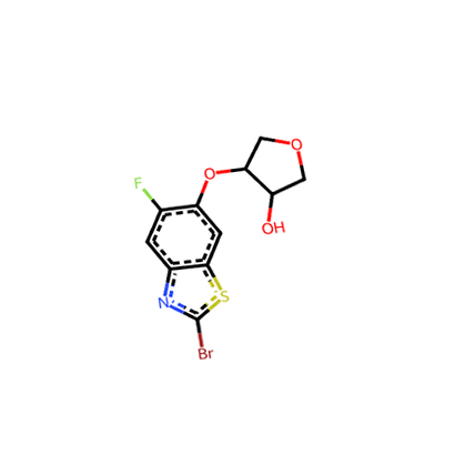 OC1COCC1Oc1cc2sc(Br)nc2cc1F